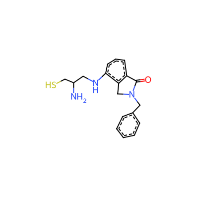 NC(CS)CNc1cccc2c1CN(Cc1ccccc1)C2=O